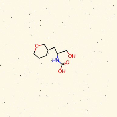 O=C(O)NC(CO)C[C@H]1CCCOC1